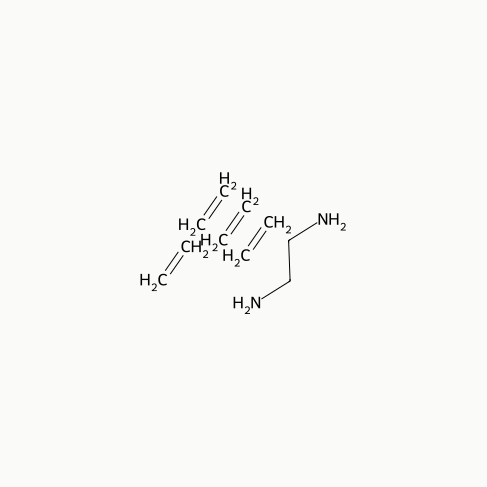 C=C.C=C.C=C.C=C.NCCN